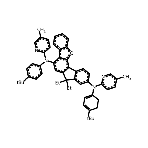 CCC1(CC)c2cc(N(C3=CC=C(C(C)(C)C)CC3)c3ccc(C)cn3)ccc2-c2c1cc(N(c1ccc(C(C)(C)C)cc1)c1ccc(C)cn1)c1c2oc2ccccc21